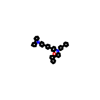 c1ccc(-c2ccc(N(c3ccc(-c4ccc(-c5ccc(-n6c7ccccc7c7ccccc76)cc5)cc4)cc3)c3cccc4c3oc3ccc5ccccc5c34)cc2)cc1